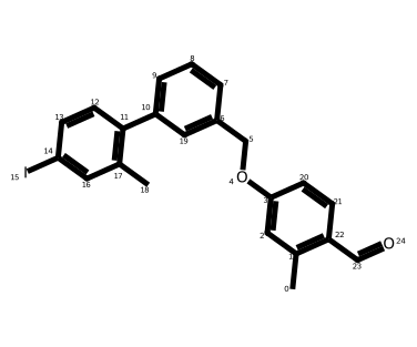 Cc1cc(OCc2cccc(-c3ccc(I)cc3C)c2)ccc1C=O